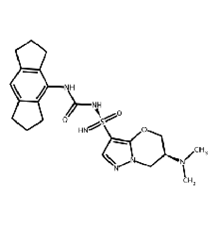 CN(C)[C@@H]1COc2c([S@](=N)(=O)NC(=O)Nc3c4c(cc5c3CCC5)CCC4)cnn2C1